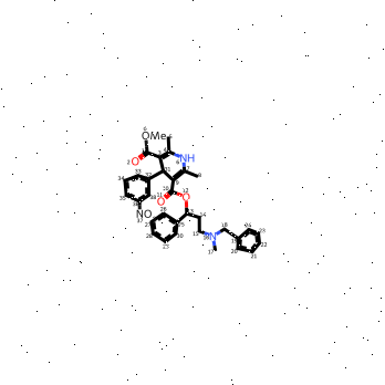 COC(=O)C1=C(C)NC(C)=C(C(=O)OC(CCN(C)Cc2ccccc2)c2ccccc2)C1c1cccc([N+](=O)[O-])c1